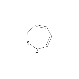 C1=CCSNC=C1